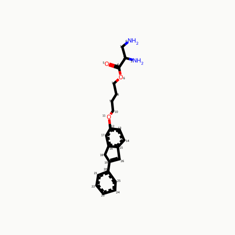 NCC(N)C(=O)OCCCCOc1ccc2c(c1)CC(c1ccccc1)=C2